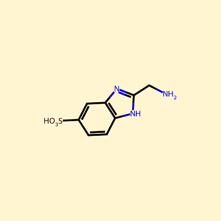 NCc1nc2cc(S(=O)(=O)O)ccc2[nH]1